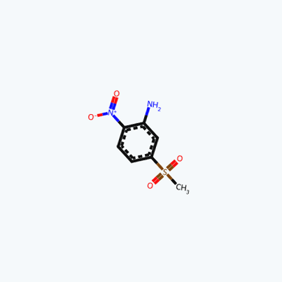 CS(=O)(=O)c1ccc([N+](=O)[O-])c(N)c1